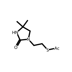 CC(=O)SCCN1CC(C)(C)NC1=O